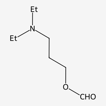 CCN(CC)CCCOC=O